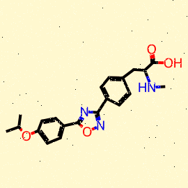 CNC(Cc1ccc(-c2noc(-c3ccc(OC(C)C)cc3)n2)cc1)C(=O)O